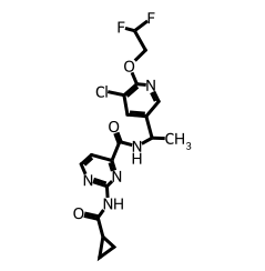 CC(NC(=O)c1ccnc(NC(=O)C2CC2)n1)c1cnc(OCC(F)F)c(Cl)c1